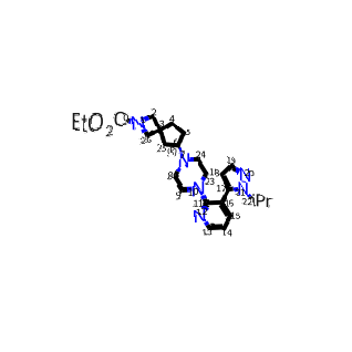 CCOC(=O)N1CC2(CC[C@@H](N3CCN(c4ncccc4-c4ccnn4C(C)C)CC3)C2)C1